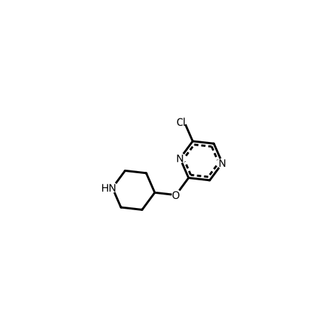 Clc1cncc(OC2CCNCC2)n1